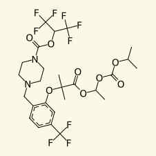 CC(C)OC(=O)OC(C)OC(=O)C(C)(C)Oc1cc(C(F)(F)F)ccc1CN1CCN(C(=O)OC(C(F)(F)F)C(F)(F)F)CC1